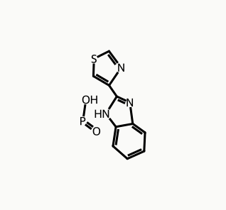 O=PO.c1ccc2[nH]c(-c3cscn3)nc2c1